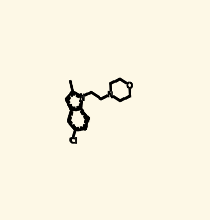 Cc1cc2cc(Cl)ccc2n1CCN1CCOCC1